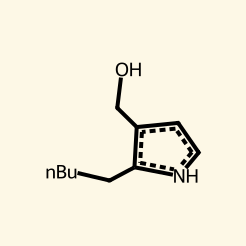 CCCCCc1[nH]ccc1CO